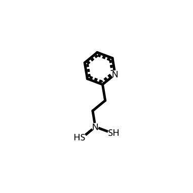 SN(S)CCc1ccccn1